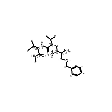 CNC(=O)[C@@H](NC(=O)[C@@H](C[C@H](O)[C@@H](N)COCc1ccccc1)C(C)C)C(C)C